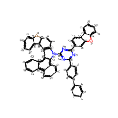 c1ccc(-c2ccc(-c3nc(-c4ccc5c(c4)oc4ccccc45)nc(-n4c5ccc6sc7ccccc7c6c5c5c6ccccc6c6ccccc6c54)n3)cc2)cc1